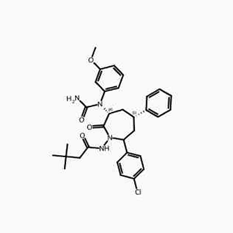 COc1cccc(N(C(N)=O)[C@@H]2C[C@H](c3ccccc3)CC(c3ccc(Cl)cc3)N(NC(=O)CC(C)(C)C)C2=O)c1